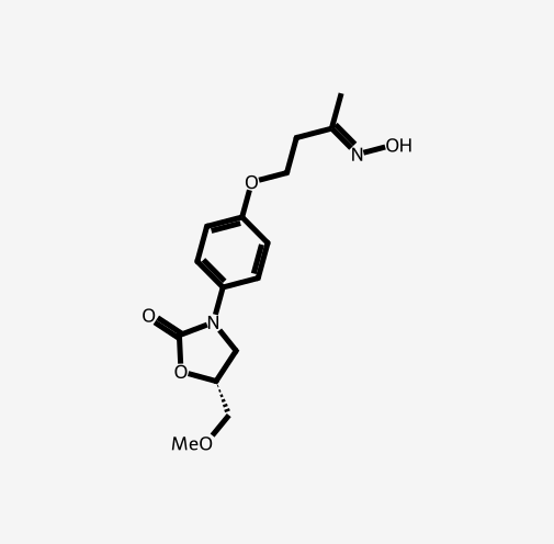 COC[C@H]1CN(c2ccc(OCCC(C)=NO)cc2)C(=O)O1